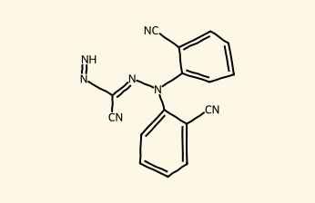 N#C/C(N=N)=N\N(c1ccccc1C#N)c1ccccc1C#N